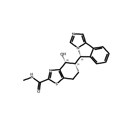 CNC(=O)c1nc2c(s1)CC[C@@H]([C@H]1c3ccccc3-c3cncn31)[C@H]2O